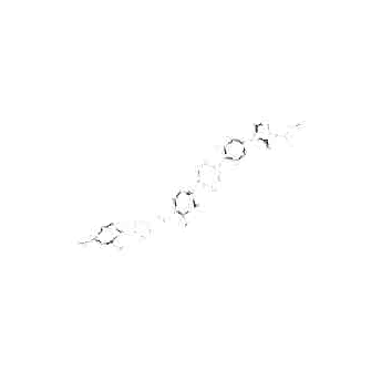 CCC(C)n1ncn(-c2ccc(N3CCN(c4ccc(OC[C@@H]5CO[C@@H](c6ccc(Cl)cc6Cl)O5)c(F)c4)CC3)cc2)c1=O